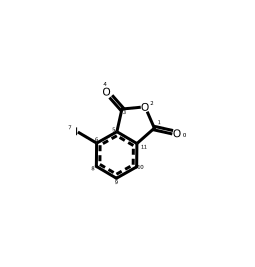 O=C1OC(=O)c2c(I)cccc21